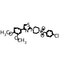 COc1ccc(-c2csc(N3CCN(S(=O)(=O)c4ccc(Cl)cc4)CC3)n2)cc1OC